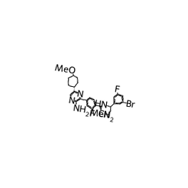 C=C(NC(CNC)c1cc(F)cc(Br)c1)c1ccc(-c2nc([C@H]3CC[C@H](OC)CC3)cnc2N)cc1F